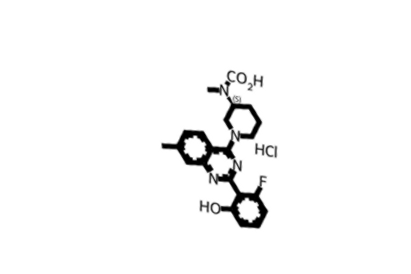 Cc1ccc2c(N3CCC[C@H](N(C)C(=O)O)C3)nc(-c3c(O)cccc3F)nc2c1.Cl